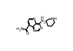 NC(=O)c1ccnc2c(N[C@H]3CCCNC3)ncnc12